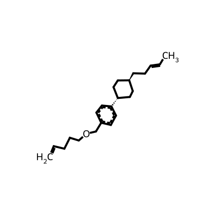 C=CCCCOCc1ccc([C@H]2CC[C@H](CCC=CC)CC2)cc1